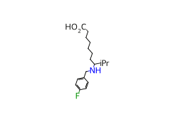 CC(C)C(CCCCCCC(=O)O)NCc1ccc(F)cc1